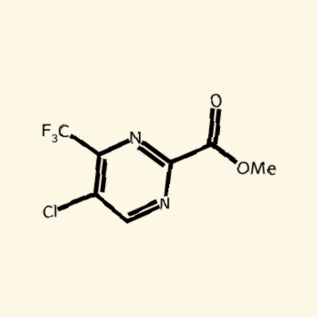 COC(=O)c1ncc(Cl)c(C(F)(F)F)n1